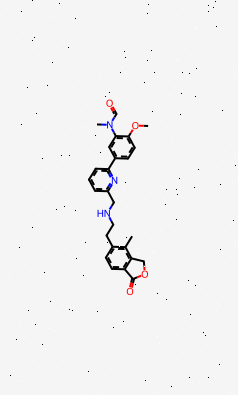 COc1ccc(-c2cccc(CNCCc3ccc4c(c3C)COC4=O)n2)cc1N(C)C=O